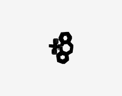 CS(=O)(=O)N1c2ccccc2CCc2ccccc21